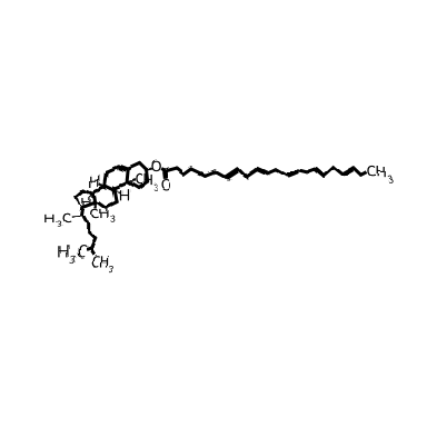 CCC=CCC=CCC=CCC=CCC=CCCCCCC(=O)O[C@H]1CC[C@@]2(C)C(=CC[C@H]3[C@@H]4CC[C@H]([C@H](C)CCCC(C)C)[C@@]4(C)CC[C@@H]32)C1